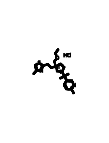 CCOC[C@@]1(CCc2nc(C)cs2)CCN(C(C)(C)c2ccc(C)nc2)C1.Cl